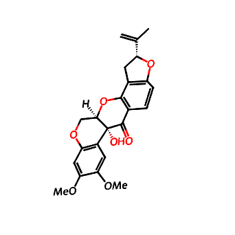 C=C(C)[C@H]1Cc2c(ccc3c2O[C@@H]2COc4cc(OC)c(OC)cc4[C@]2(O)C3=O)O1